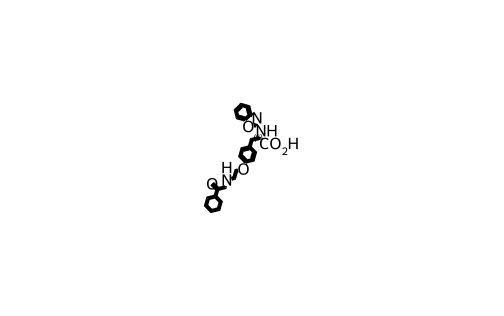 O=C(CNCCOc1ccc(C[C@H](Nc2nc3ccccc3o2)C(=O)O)cc1)C1CCCCC1